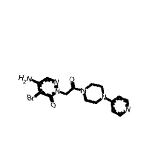 Nc1cnn(CC(=O)N2CCN(c3ccncc3)CC2)c(=O)c1Br